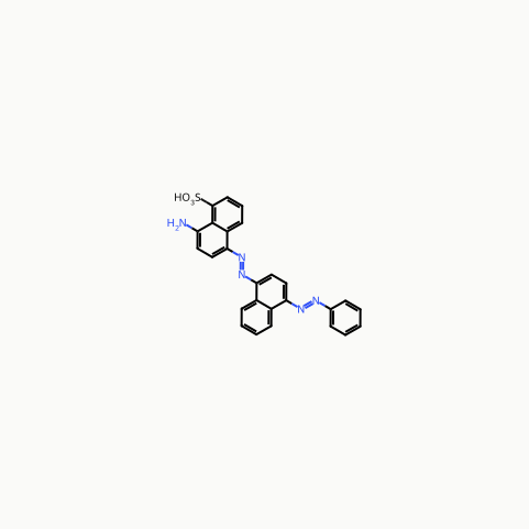 Nc1ccc(/N=N/c2ccc(/N=N/c3ccccc3)c3ccccc23)c2cccc(S(=O)(=O)O)c12